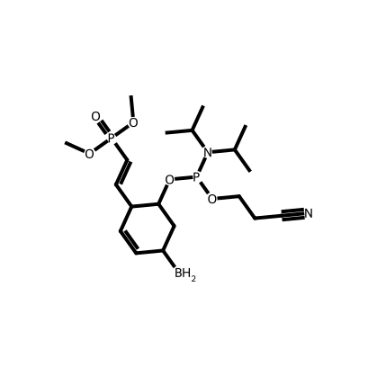 BC1C=CC(/C=C/P(=O)(OC)OC)C(OP(OCCC#N)N(C(C)C)C(C)C)C1